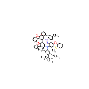 Cc1ccc(Nc2ccc3oc4ccccc4c3c2-c2c3c(cc4c2oc2ccccc24)N(c2cc4c(cc2C)C(C)(C)CCC4(C)C)c2cc4c(cc2B3)Oc2ccccc2S4)c(-c2ccccc2)c1